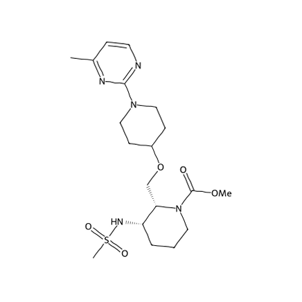 COC(=O)N1CCC[C@H](NS(C)(=O)=O)[C@@H]1COC1CCN(c2nccc(C)n2)CC1